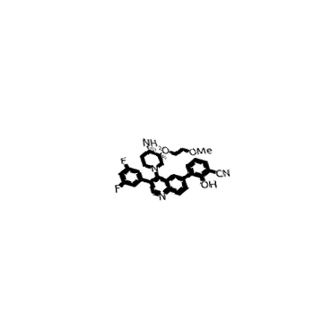 COCCO[C@@H]1CN(c2c(-c3cc(F)cc(F)c3)cnc3ccc(-c4cccc(C#N)c4O)cc23)CC[C@@H]1N